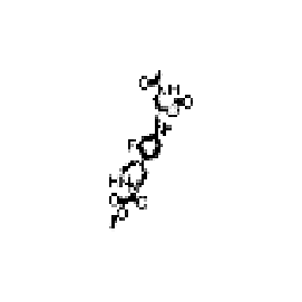 CCOC(=O)C(=O)N1CCN(c2ccc(N(C)C[C@H](CNC(C)=O)OC=O)cc2F)CCN1